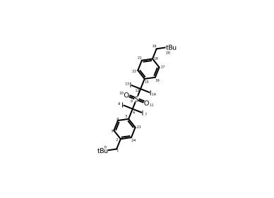 CC(C)(C)Cc1ccc(C(I)(I)S(=O)(=O)C(I)(I)c2ccc(CC(C)(C)C)cc2)cc1